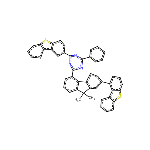 CC1(C)c2cc(-c3cccc4sc5ccccc5c34)ccc2-c2c(-c3nc(-c4ccccc4)nc(-c4ccc5sc6ccccc6c5c4)n3)cccc21